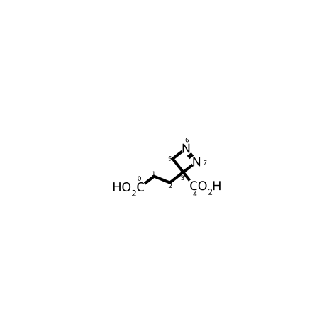 O=C(O)CCC1(C(=O)O)CN=N1